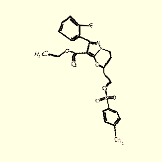 CCOC(=O)c1c(-c2ccccc2F)nn2c1OC(COS(=O)(=O)c1ccc(C)cc1)CC2